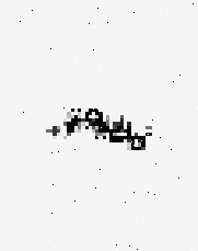 CC(C)(O)C(=O)N[C@H]1CCC[C@@H](NC(=O)c2ccc(-c3cccc(F)c3)nc2)C1